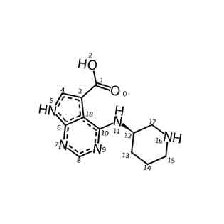 O=C(O)c1c[nH]c2ncnc(N[C@@H]3CCCNC3)c12